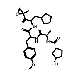 COc1ccc(CC(NC(=O)C(C)NC(=O)[C@@H]2CC[C@@H](O)C2)C(=O)NC(CC2CCCC2)C(=O)C2(C)CO2)cc1